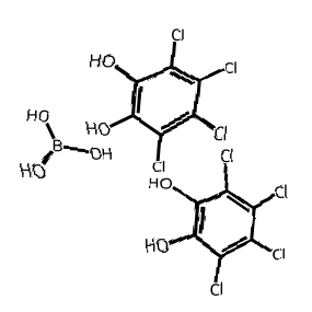 OB(O)O.Oc1c(O)c(Cl)c(Cl)c(Cl)c1Cl.Oc1c(O)c(Cl)c(Cl)c(Cl)c1Cl